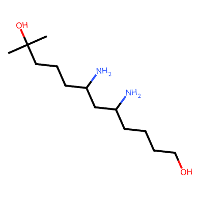 CC(C)(O)CCCC(N)CC(N)CCCCO